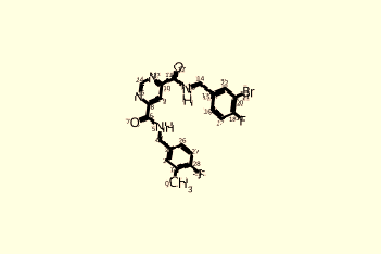 Cc1cc(CNC(=O)c2cc(C(=O)NCc3ccc(F)c(Br)c3)ncn2)ccc1F